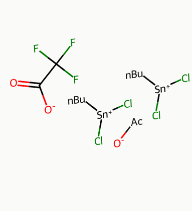 CC(=O)[O-].CCC[CH2][Sn+]([Cl])[Cl].CCC[CH2][Sn+]([Cl])[Cl].O=C([O-])C(F)(F)F